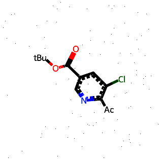 CC(=O)c1ncc(C(=O)OC(C)(C)C)cc1Cl